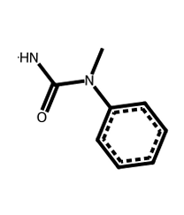 CN(C([NH])=O)c1ccccc1